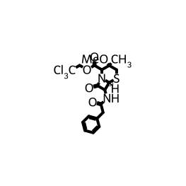 COC1(C)CS[C@H]2C(NC(=O)Cc3ccccc3)C(=O)N2C1C(=O)OCC(Cl)(Cl)Cl